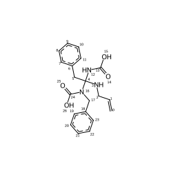 C=CCNC(Cc1ccccc1)(NC(=O)O)N(Cc1ccccc1)C(=O)O